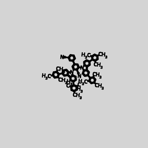 Cc1cc(C)c(-c2ccc3c(c2)c2cc(-c4c(C)cc(C)cc4C)ccc2n3-c2cc(-c3cccc(C#N)c3)cc(-n3c4ccc(-c5c(C)cc(C)cc5C)cc4c4cc(-c5c(C)cc(C)cc5C)ccc43)c2C#N)c(C)c1